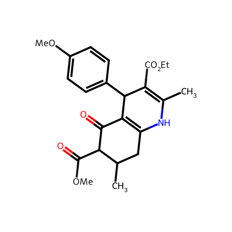 CCOC(=O)C1=C(C)NC2=C(C(=O)C(C(=O)OC)C(C)C2)C1c1ccc(OC)cc1